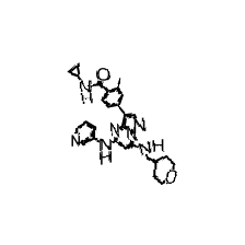 Cc1cc(-c2cnn3c(NCC4CCOCC4)cc(Nc4cccnc4)nc23)ccc1C(=O)NC1CC1